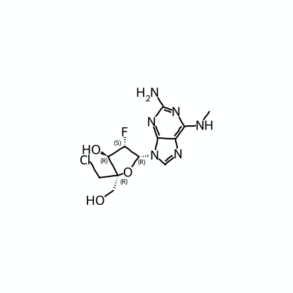 CNc1nc(N)nc2c1ncn2[C@@H]1O[C@@](CO)(CCl)[C@@H](O)[C@@H]1F